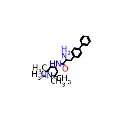 CC1(C)CC(NC(=O)C(N)Cc2ccc(-c3ccccc3)cc2)CC(C)(C)N1